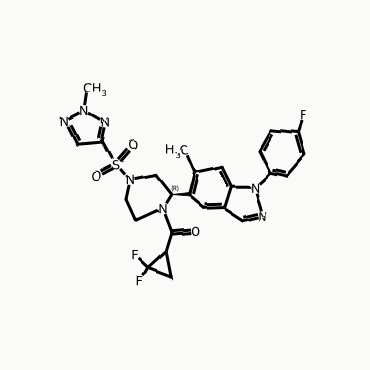 Cc1cc2c(cnn2-c2ccc(F)cc2)cc1[C@@H]1CN(S(=O)(=O)c2cnn(C)n2)CCN1C(=O)C1CC1(F)F